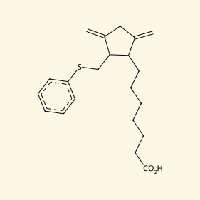 C=C1CC(=C)C(CSc2ccccc2)C1CCCCCCC(=O)O